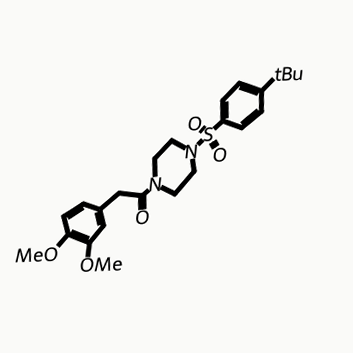 COc1ccc(CC(=O)N2CCN(S(=O)(=O)c3ccc(C(C)(C)C)cc3)CC2)cc1OC